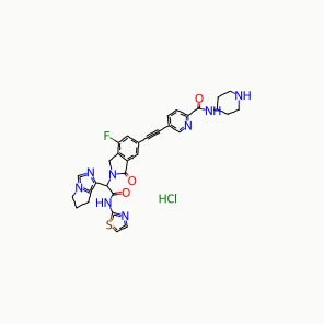 Cl.O=C(NC1CCNCC1)c1ccc(C#Cc2cc(F)c3c(c2)C(=O)N(C(C(=O)Nc2nccs2)c2ncn4c2CCC4)C3)cn1